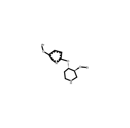 CCO[C@H]1CNCC[C@@H]1Oc1ccc(OC(C)C)cn1